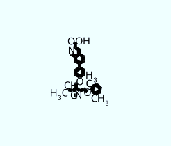 Cc1cccc(C)c1OCc1noc(C(C)C)c1COc1ccc(-c2ccc3cc(C(=O)O)ncc3c2)cc1